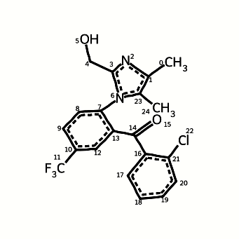 Cc1nc(CO)n(-c2ccc(C(F)(F)F)cc2C(=O)c2ccccc2Cl)c1C